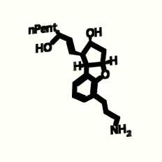 CCCCC[C@H](O)/C=C/[C@@H]1[C@H]2c3cccc(CCCN)c3O[C@H]2C[C@H]1O